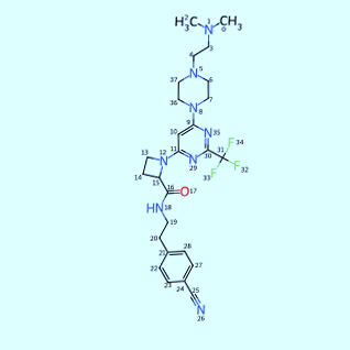 CN(C)CCN1CCN(c2cc(N3CCC3C(=O)NCCc3ccc(C#N)cc3)nc(C(F)(F)F)n2)CC1